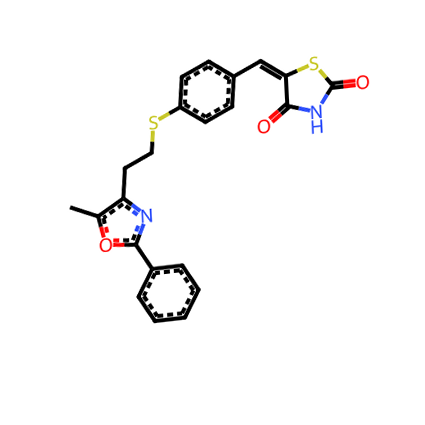 Cc1oc(-c2ccccc2)nc1CCSc1ccc(C=C2SC(=O)NC2=O)cc1